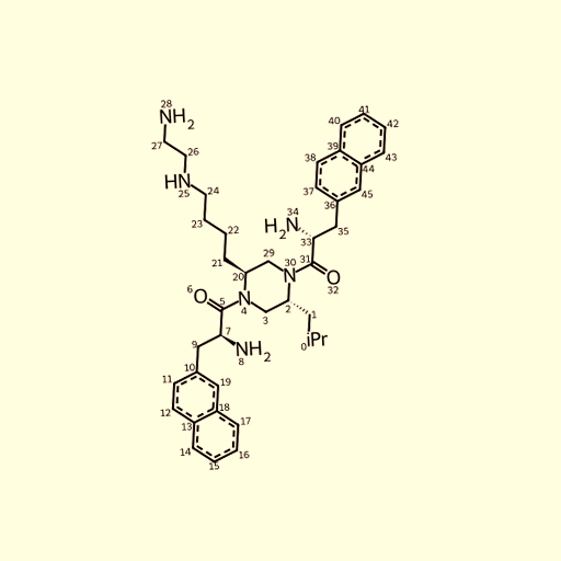 CC(C)C[C@@H]1CN(C(=O)[C@@H](N)Cc2ccc3ccccc3c2)[C@@H](CCCCNCCN)CN1C(=O)[C@H](N)Cc1ccc2ccccc2c1